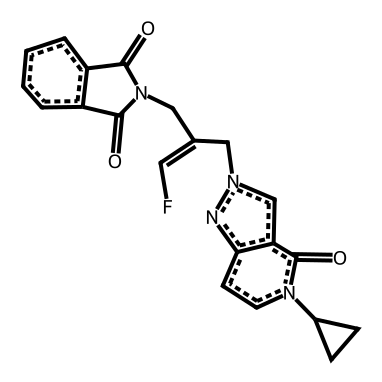 O=C1c2ccccc2C(=O)N1CC(=CF)Cn1cc2c(=O)n(C3CC3)ccc2n1